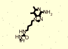 Cc1nc(N)c2ncn(CCCCNC(=O)NC(C)C)c2c1C